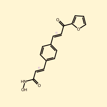 O=C(/C=C/c1ccc(/C=C/C(=O)c2ccco2)cc1)NO